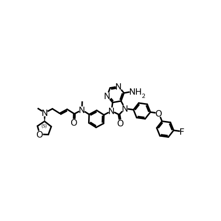 CN(C(=O)C=CCN(C)[C@H]1CCOC1)c1cccc(-n2c(=O)n(-c3ccc(Oc4cccc(F)c4)cc3)c3c(N)ncnc32)c1